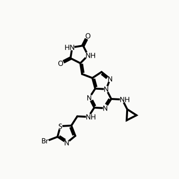 O=C1NC(=O)/C(=C/c2cnn3c(NC4CC4)nc(NCc4cnc(Br)s4)nc23)N1